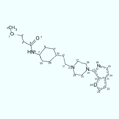 COCCC(=O)NC1CCC(CCN2CCN(c3nccc4ccoc34)CC2)CC1